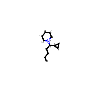 CCCCC(C1CC1)N1CCCCC1